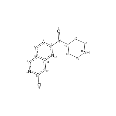 O=C(c1ccc2cnc(Cl)cc2n1)C1CCNCC1